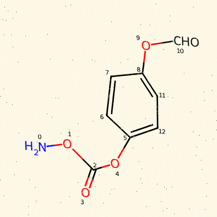 NOC(=O)Oc1ccc(OC=O)cc1